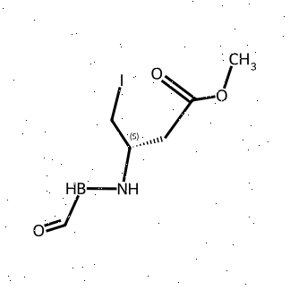 COC(=O)C[C@@H](CI)NBC=O